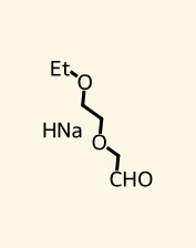 CCOCCOCC=O.[NaH]